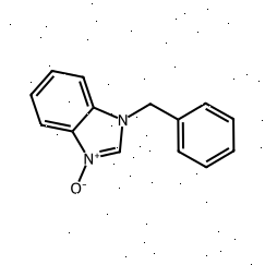 [O-][n+]1cn(Cc2ccccc2)c2ccccc21